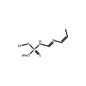 C/C=C\N=C\NP(=S)(OC)SCC